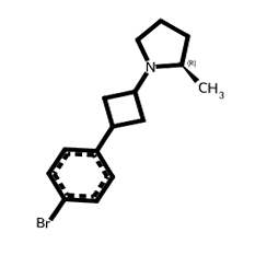 C[C@@H]1CCCN1C1CC(c2ccc(Br)cc2)C1